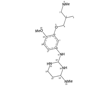 CNCC(C)COc1cc(NC2NCCC(NC)N2)ccc1OC